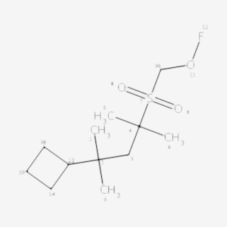 CC(C)(CC(C)(C)S(=O)(=O)COF)C1CCC1